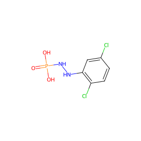 O=P(O)(O)NNc1cc(Cl)ccc1Cl